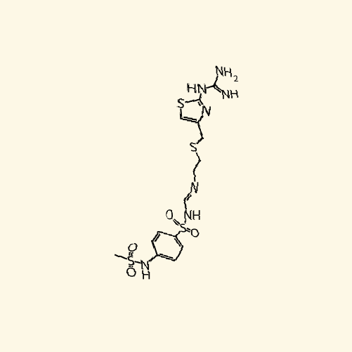 CS(=O)(=O)Nc1ccc(S(=O)(=O)NC=NCCSCc2csc(NC(=N)N)n2)cc1